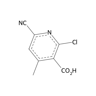 Cc1cc(C#N)nc(Cl)c1C(=O)O